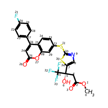 COC(=O)C[C@](O)(c1cnc(Sc2ccc3c(-c4ccc(F)cc4)cc(=O)oc3c2)s1)C(F)(F)F